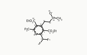 CCOC(=O)c1c(C(F)F)nc(C(F)(F)F)c(C(=O)OCC)c1CC[S+](C)[O-]